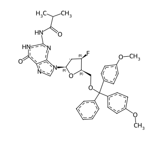 COc1ccc(C(OC[C@H]2O[C@@H](n3cnc4c(=O)[nH]c(NC(=O)C(C)C)nc43)[CH][C@H]2F)(c2ccccc2)c2ccc(OC)cc2)cc1